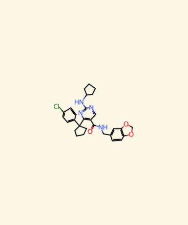 O=C(NCc1ccc2c(c1)OCO2)c1cnc(NC2CCCC2)nc1C1(c2ccc(Cl)cc2)CCCC1